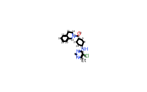 CCc1ncnc(N[C@H]2CC[C@@H](C(=O)N3CCc4ccccc4C3)CC2)c1Cl